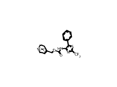 O=C(Nc1nc(C(F)(F)F)sc1-c1ccccc1)OCC12CCN(CC1)CC2